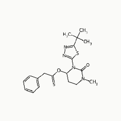 CN1CCC(OC(=S)Cc2ccccc2)N(c2nnc(C(C)(C)C)s2)C1=O